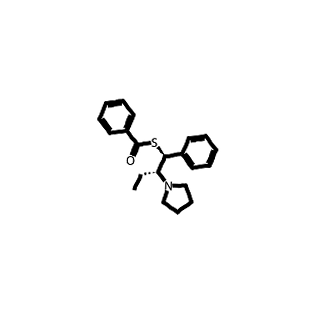 CC[C@H]([C@@H](SC(=O)c1ccccc1)c1ccccc1)N1CCCC1